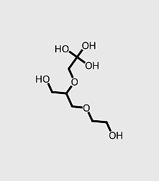 OCCOCC(CO)OCC(O)(O)O